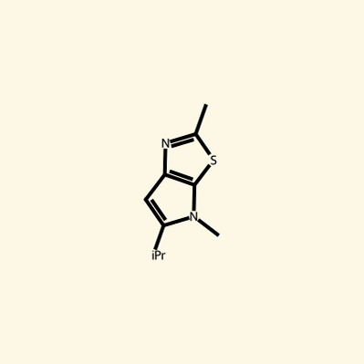 Cc1nc2cc(C(C)C)n(C)c2s1